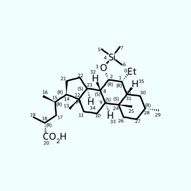 CC[C@H]1[C@@H](O[Si](C)(C)C)[C@@H]2[C@H](CC[C@]3(C)[C@@H]([C@H](C)C[C@@H](C)C(=O)O)CC[C@@H]23)[C@@]2(C)CC[C@@H](C)C[C@@H]12